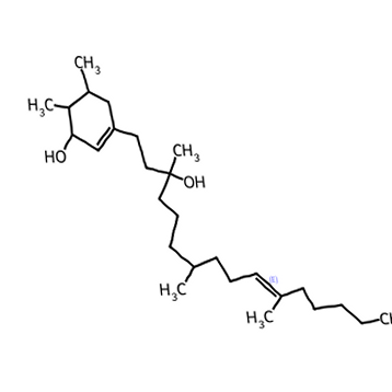 CCCCC/C(C)=C/CCC(C)CCCC(C)(O)CCC1=CC(O)C(C)C(C)C1